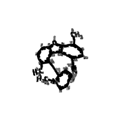 Cc1ccc2oc3c(C)ccc(C#N)c3c2c1-c1cccc[n+]1C